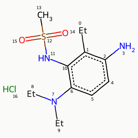 CCc1c(N)ccc(N(CC)CC)c1NS(C)(=O)=O.Cl